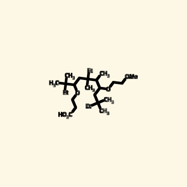 CCC(C)(C)CC(OCCOC)C(C)C(C)(CC)CC(OCCC(=O)O)C(C)(C)CC